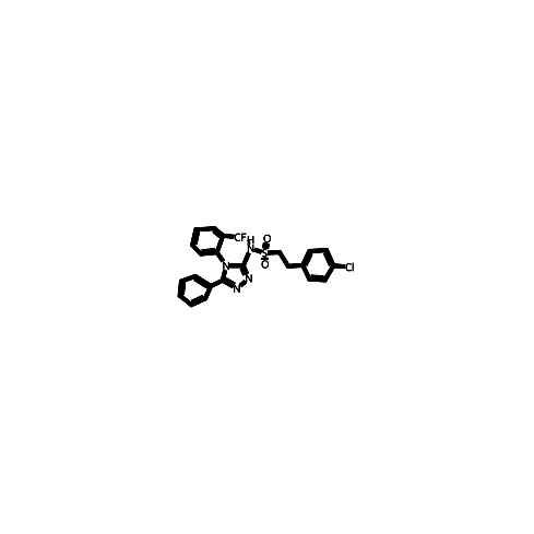 O=S(=O)(CCc1ccc(Cl)cc1)Nc1nnc(-c2ccccc2)n1-c1ccccc1C(F)(F)F